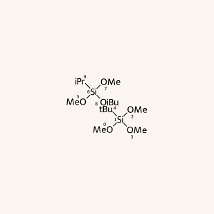 CO[Si](OC)(OC)C(C)(C)C.CO[Si](OC)(OCC(C)C)C(C)C